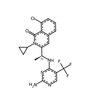 C[C@H](Nc1nc(N)ncc1C(F)(F)F)c1cc2cccc(Cl)c2c(=O)n1C1CC1